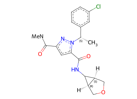 CNC(=O)c1cc(C(=O)NC2[C@H]3COC[C@@H]23)n([C@@H](C)c2cccc(Cl)c2)n1